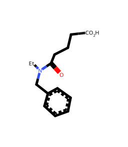 CCN(Cc1ccccc1)C(=O)CCCC(=O)O